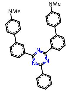 CNc1ccc(-c2cccc(-c3nc(-c4ccccc4)nc(-c4cccc(-c5ccc(NC)cc5)c4)n3)c2)cc1